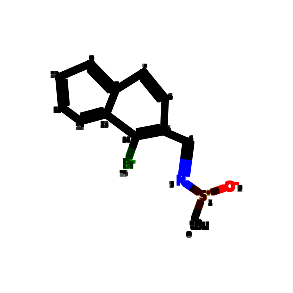 CC(C)(C)[S+]([O-])N=Cc1ccc2ccccc2c1Br